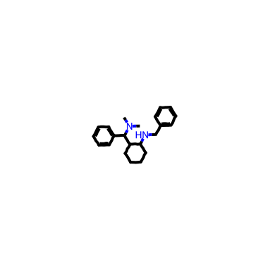 CN(C)C(c1ccccc1)C1CCCCC1NCc1ccccc1